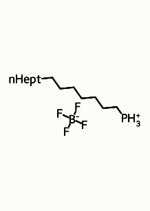 CCCCCCCCCCCCCC[PH3+].F[B-](F)(F)F